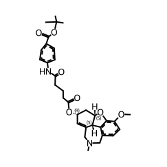 COc1ccc2c3c1O[C@H]1C[C@@H](OC(=O)CCCC(=O)Nc4ccc(C(=O)OC(C)(C)C)cc4)C=C(CN(C)C2)[C@@H]31